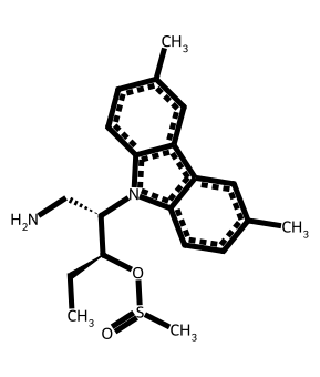 CC[C@H](OS(C)=O)[C@H](CN)n1c2ccc(C)cc2c2cc(C)ccc21